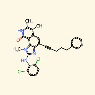 Cc1[nH]c(=O)c2c(cc(C#CCCCc3ccccc3)c3nc(Nc4c(Cl)cccc4Cl)n(C)c32)c1C